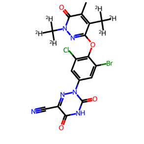 [2H]C([2H])([2H])c1c(Oc2c(Cl)cc(-n3nc(C#N)c(=O)[nH]c3=O)cc2Br)nn(C([2H])([2H])[2H])c(=O)c1C